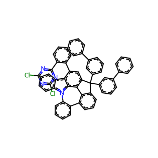 Clc1nc(Cl)nc(-c2ccccc2-c2cc3c4c5c2c2ccccc2n5-c2ccccc2-c2cccc(c2-4)C3(c2cccc(-c3ccccc3)c2)c2cccc(-c3ccccc3)c2)n1